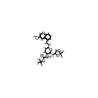 COc1cnc2cccc(CC[C@@H]3CC[C@@H](NC(=O)OC(C)(C)C)[C@@H](CC4COC(C)(C)O4)O3)c2c1